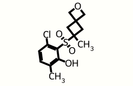 Cc1ccc(Cl)c(S(=O)(=O)C2(C)CC3(COC3)C2)c1O